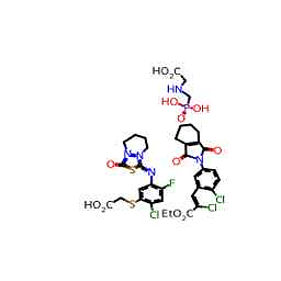 CCOC(=O)/C(Cl)=C/c1cc(N2C(=O)C3=C(CCCC3)C2=O)ccc1Cl.O=C(O)CNCP(=O)(O)O.O=C(O)CSc1cc(N=c2sc(=O)n3n2CCCC3)c(F)cc1Cl